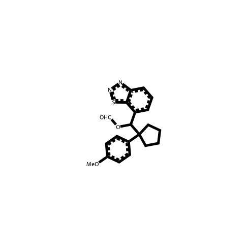 COc1ccc(C2(C(OC=O)c3cccc4nnsc34)CCCC2)cc1